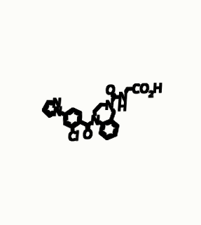 O=C(O)CNC(=O)N1CCN(C(=O)c2ccc(-n3cccn3)cc2Cl)c2ccccc2C1